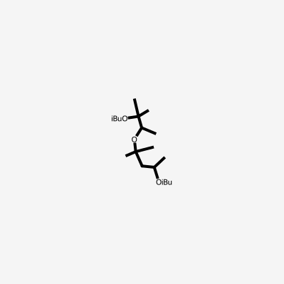 CC(C)COC(C)CC(C)(C)OC(C)C(C)(C)OCC(C)C